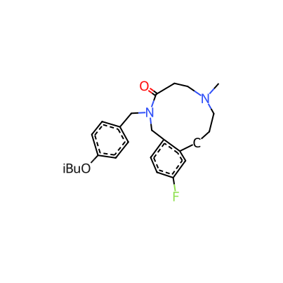 CC(C)COc1ccc(CN2Cc3ccc(F)cc3CCCN(C)CCC2=O)cc1